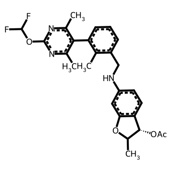 CC(=O)O[C@H]1c2ccc(NCc3cccc(-c4c(C)nc(OC(F)F)nc4C)c3C)cc2OC1C